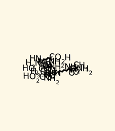 C[C@@H](OC(=O)[C@@H]1CCCN1)[C@H](N)C(=O)O.C[C@H](N)C(=O)OC(=O)[C@@H](N)CCCCN.N=C(N)NCCC[C@H](N)C(=O)O.N[C@@H](Cc1c[nH]cn1)C(=O)O